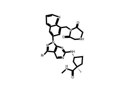 CNC(=O)[C@]1(C)CC[C@@H](Nc2ncc3c(Br)nn(-c4cc(CN5C(=O)CNCC5=O)c5ncccc5c4)c3n2)C1